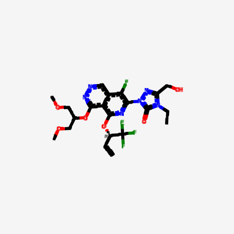 C=C[C@H](Oc1nc(-n2nc(CO)n(CC)c2=O)c(F)c2cnnc(OC(COC)COC)c12)C(F)(F)F